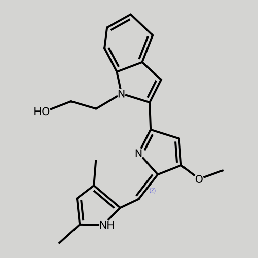 COC1=CC(c2cc3ccccc3n2CCO)=N/C1=C\c1[nH]c(C)cc1C